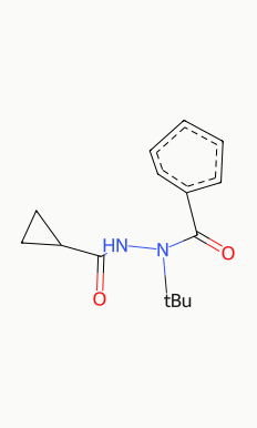 CC(C)(C)N(NC(=O)C1CC1)C(=O)c1ccccc1